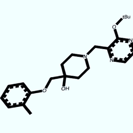 Cc1ccccc1OCC1(O)CCN(Cc2nccnc2OC(C)(C)C)CC1